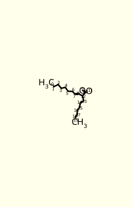 CCCCCCCC=C1OC(=O)C1CCCCCCC